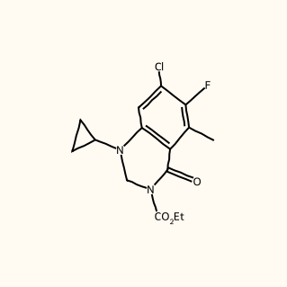 CCOC(=O)N1CN(C2CC2)c2cc(Cl)c(F)c(C)c2C1=O